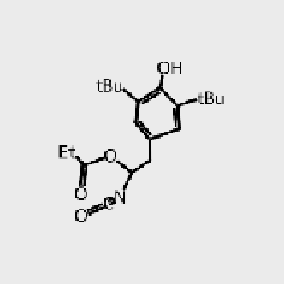 CCC(=O)OC(Cc1cc(C(C)(C)C)c(O)c(C(C)(C)C)c1)N=C=O